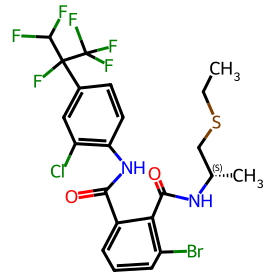 CCSC[C@H](C)NC(=O)c1c(Br)cccc1C(=O)Nc1ccc(C(F)(C(F)F)C(F)(F)F)cc1Cl